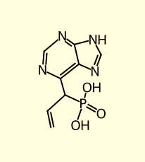 C=CC(c1ncnc2[nH]cnc12)P(=O)(O)O